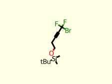 CC(C)(C)[Si](C)(C)OCCC#CC(F)(F)Br